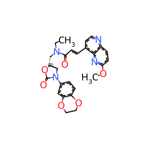 CCN(C[C@@H]1CN(c2ccc3c(c2)OCCO3)C(=O)O1)C(=O)C=Cc1ccnc2ccc(OC)nc12